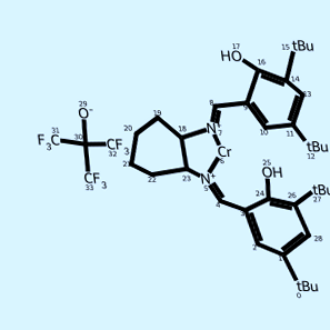 CC(C)(C)c1cc(C=[N+]2[Cr][N+](=Cc3cc(C(C)(C)C)cc(C(C)(C)C)c3O)C3CCCCC32)c(O)c(C(C)(C)C)c1.[O-]C(C(F)(F)F)(C(F)(F)F)C(F)(F)F